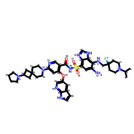 CC(C)N1CCC(F)(CNc2c(N)cc(S(=O)(=O)NC(=O)c3cnc(N4CCC5(CC4)CC(N4CCCC4)C5)cc3Oc3cnc4[nH]ccc4c3)c3nc[nH]c23)CC1